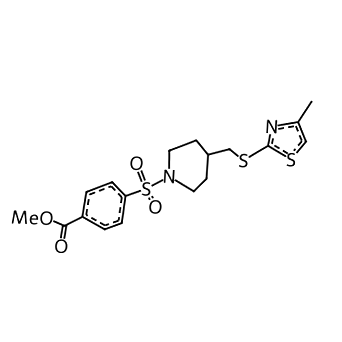 COC(=O)c1ccc(S(=O)(=O)N2CCC(CSc3nc(C)cs3)CC2)cc1